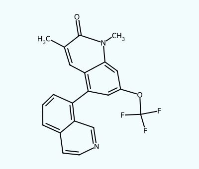 Cc1cc2c(-c3cccc4ccncc34)cc(OC(F)(F)F)cc2n(C)c1=O